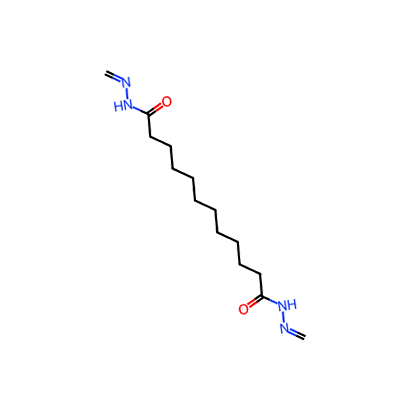 C=NNC(=O)CCCCCCCCCCC(=O)NN=C